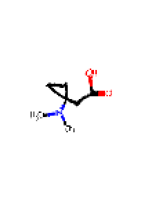 CN(C)C1(CC(=O)O)CC1